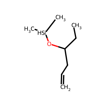 C=CCC(CC)O[SiH](C)C